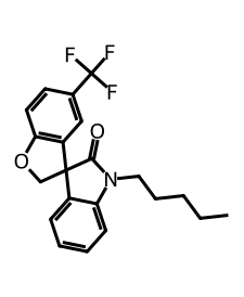 CCCCCN1C(=O)C2(COc3ccc(C(F)(F)F)cc32)c2ccccc21